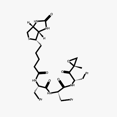 CC(C)C[C@H](NC(=O)CCCC[C@@H]1SC[C@@H]2NC(=O)N[C@@H]21)C(=O)N[C@@H](CC(C)C)C(=O)N[C@@H](CC(C)C)C(=O)[C@@]1(C)CO1